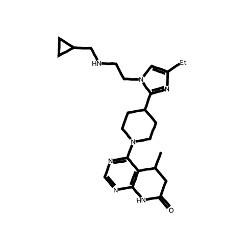 CCc1cn(CCNCC2CC2)c(C2CCN(c3ncnc4c3C(C)CC(=O)N4)CC2)n1